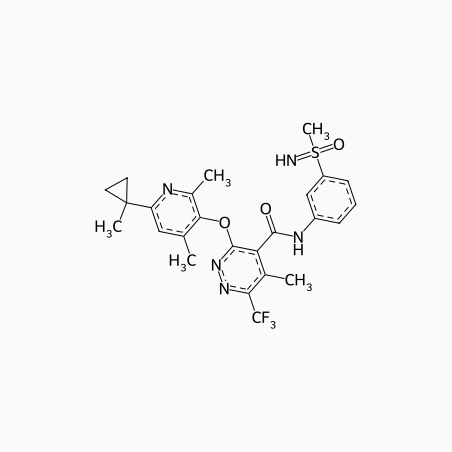 Cc1cc(C2(C)CC2)nc(C)c1Oc1nnc(C(F)(F)F)c(C)c1C(=O)Nc1cccc(S(C)(=N)=O)c1